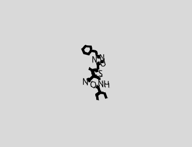 CCC(CC)C(=O)Nc1sc(-c2nc(CC3CCCCC3)no2)c(C)c1C#N